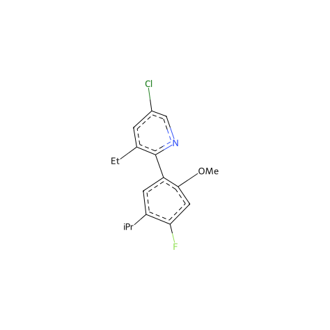 CCc1cc(Cl)cnc1-c1cc(C(C)C)c(F)cc1OC